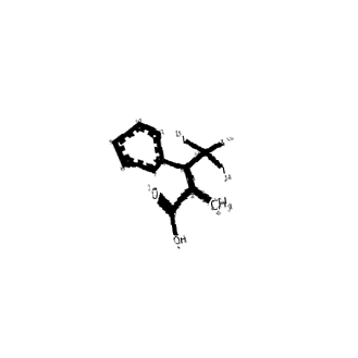 CC(C(=O)O)C(c1ccccc1)C(I)(I)I